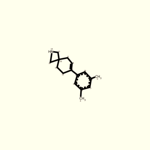 Cc1cc(C)cc(C2=CCC3(CC2)CNC3)c1